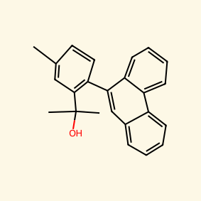 Cc1ccc(-c2cc3ccccc3c3ccccc23)c(C(C)(C)O)c1